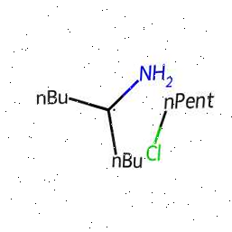 CCCCCCl.CCCC[C](N)CCCC